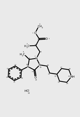 COC(=O)C(C)CN1C(C)N(c2ccccc2)C(=O)N1CCC1CCNCC1.Cl